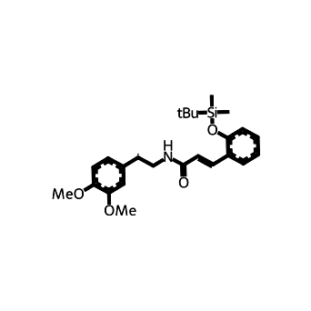 COc1ccc([CH]CNC(=O)/C=C/c2ccccc2O[Si](C)(C)C(C)(C)C)cc1OC